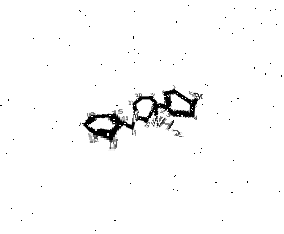 NC1(c2ccc(Br)cc2)CCCN(Cc2ccccc2)C1